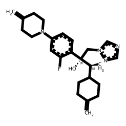 C=C1CCC([C@H](C)[C@](O)(Cn2cncn2)c2ccc(N3CCC(=C)CC3)cc2F)CC1